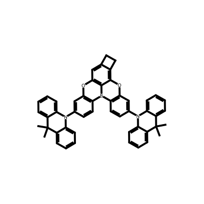 CC1(C)c2ccccc2N(c2ccc3c(c2)Oc2cc4c(c5c2B3c2ccc(N3c6ccccc6C(C)(C)c6ccccc63)cc2O5)CC4)c2ccccc21